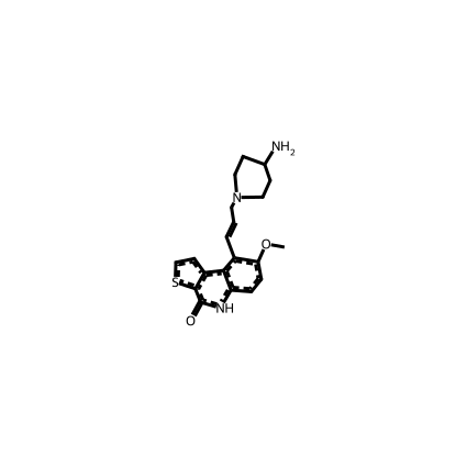 COc1ccc2[nH]c(=O)c3sccc3c2c1C=CCN1CCC(N)CC1